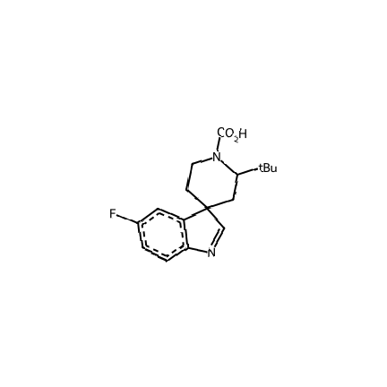 CC(C)(C)C1CC2(C=Nc3ccc(F)cc32)CCN1C(=O)O